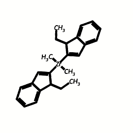 CCC1[C]([Zr]([CH3])([CH3])[C]2=Cc3ccccc3C2CC)=Cc2ccccc21